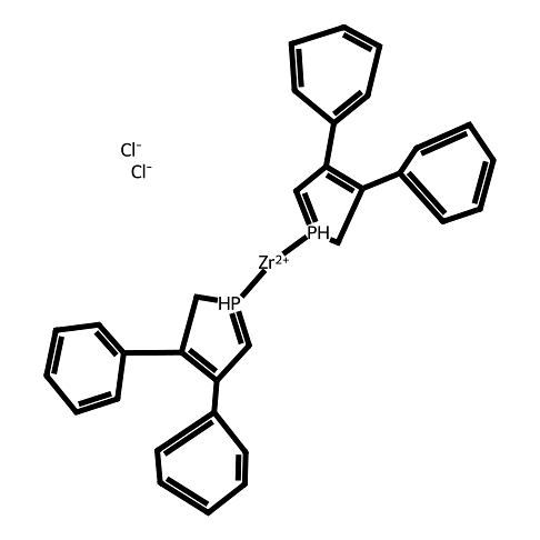 C1=[PH]([Zr+2][PH]2=CC(c3ccccc3)=C(c3ccccc3)C2)CC(c2ccccc2)=C1c1ccccc1.[Cl-].[Cl-]